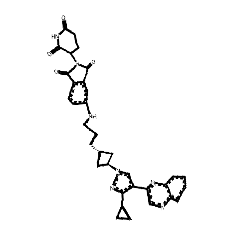 O=C1CCC(N2C(=O)c3ccc(NCCC[C@H]4C[C@H](n5cc(-c6cnc7ccccc7n6)c(C6CC6)n5)C4)cc3C2=O)C(=O)N1